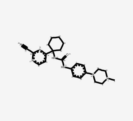 CN1CCN(c2ccc(NC(=O)NC3(c4ccnc(C#N)n4)CCCCC3)cc2)CC1